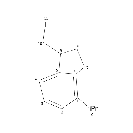 CC(C)c1cccc2c1CCC2CI